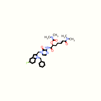 CN(C)C(=O)/C=C/CCC(OC(=O)N(C)C)C(=O)Nc1nccn(Cc2cc3cc(F)ccc3n2Cc2ccccc2)c1=O